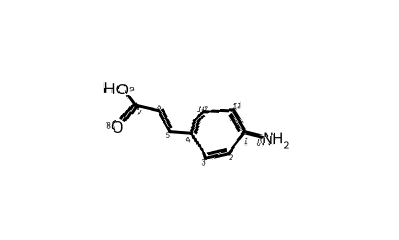 Nc1ccc(/C=C/C(=O)O)cc1